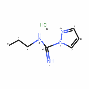 CCCNC(=N)n1cccn1.Cl